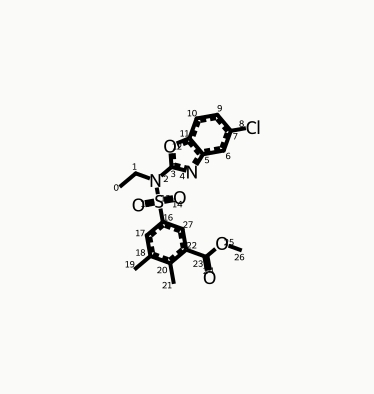 CCN(c1nc2cc(Cl)ccc2o1)S(=O)(=O)c1cc(C)c(C)c(C(=O)OC)c1